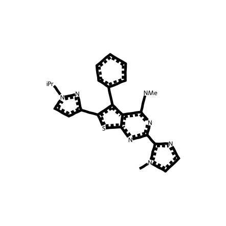 CNc1nc(-c2nccn2C)nc2sc(-c3ccn(C(C)C)n3)c(-c3ccccc3)c12